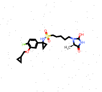 C[C@@H]1C(=O)NC(O)N1CCCCCS(=O)(=O)NC1(c2ccc(F)c(OCC3CC3)c2)CC1